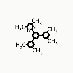 Cc1cc(C)cc(-c2cc(-c3cc(C)cc(C)c3)cc(-c3nc(C)cc(C)n3)c2)c1